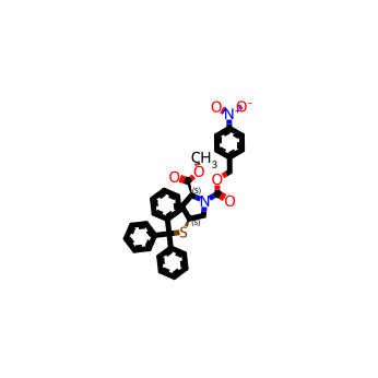 COC(=O)[C@@H]1C[C@H](SC(c2ccccc2)(c2ccccc2)c2ccccc2)CN1C(=O)OCc1ccc([N+](=O)[O-])cc1